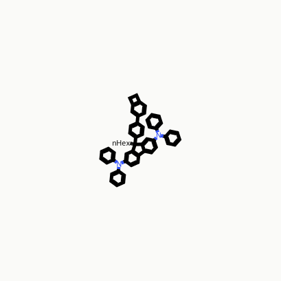 CCCCCCC1(c2ccc(-c3ccc4c(c3)CC4)cc2)c2cc(N(c3ccccc3)c3ccccc3)ccc2-c2ccc(N(c3ccccc3)c3ccccc3)cc21